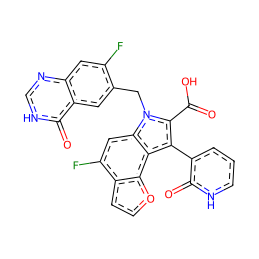 O=C(O)c1c(-c2ccc[nH]c2=O)c2c3occc3c(F)cc2n1Cc1cc2c(=O)[nH]cnc2cc1F